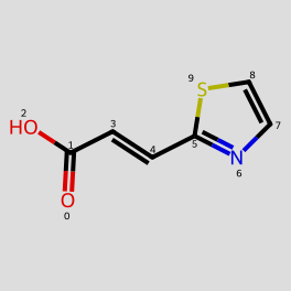 O=C(O)C=Cc1nccs1